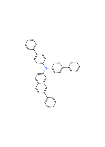 c1ccc(-c2ccc(N(c3ccc(-c4ccccc4)cc3)c3ccc4ccc(-c5ccccc5)cc4c3)cc2)cc1